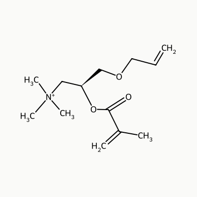 C=CCOC[C@H](C[N+](C)(C)C)OC(=O)C(=C)C